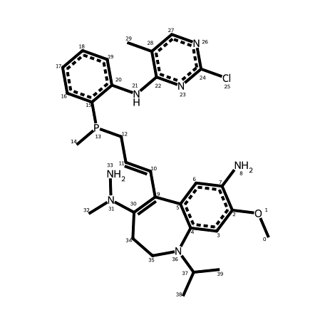 COc1cc2c(cc1N)C(/C=C/CP(C)c1ccccc1Nc1nc(Cl)ncc1C)=C(N(C)N)CCN2C(C)C